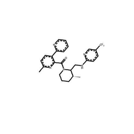 Cc1ccc(-c2ccccn2)c(C(=O)N2CCC[C@@H](C)C2CNc2ccc(C(F)(F)F)cn2)n1